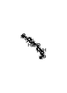 Cc1c(OCc2cnco2)ccc2c1CCN(CC(O)CNC(=O)c1ccnc(NC3CCN(C(=O)C4CCC4)CC3)c1)C2